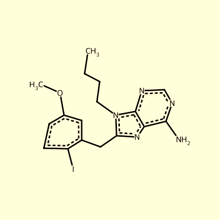 CCCCn1c(Cc2cc(OC)ccc2I)nc2c(N)ncnc21